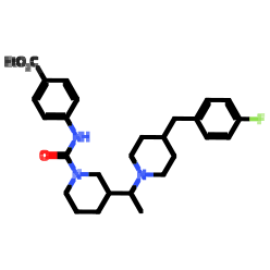 CCOC(=O)c1ccc(NC(=O)N2CCCC(C(C)N3CCC(Cc4ccc(F)cc4)CC3)C2)cc1